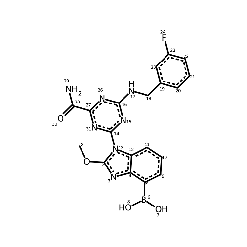 COc1nc2c(B(O)O)cccc2n1-c1nc(NCc2cccc(F)c2)nc(C(N)=O)n1